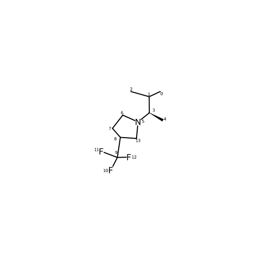 CC(C)[C@@H](C)N1CCC(C(F)(F)F)C1